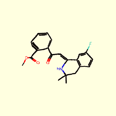 COC(=O)c1ccccc1C(=O)/C=C1\NC(C)(C)Cc2ccc(F)cc21